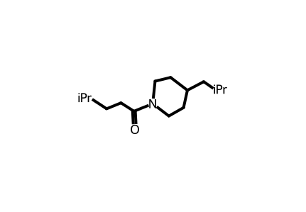 CC(C)CCC(=O)N1CCC(CC(C)C)CC1